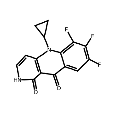 O=c1[nH]ccc2c1c(=O)c1cc(F)c(F)c(F)c1n2C1CC1